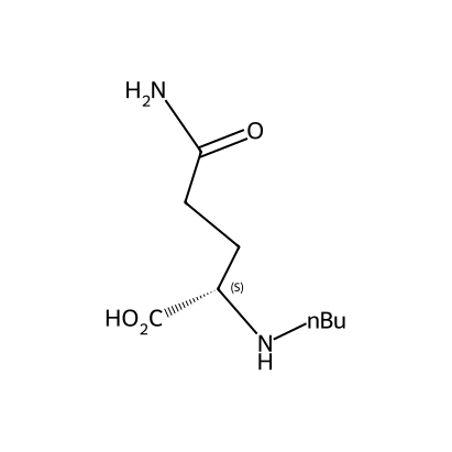 CCCCN[C@@H](CCC(N)=O)C(=O)O